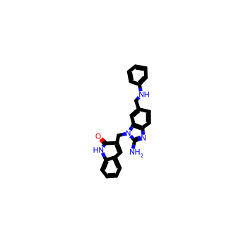 Nc1nc2ccc(CNc3ccccc3)cc2n1Cc1cc2ccccc2[nH]c1=O